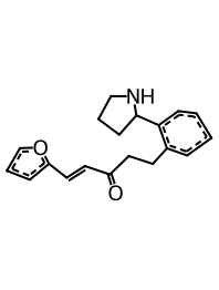 O=C(C=Cc1ccco1)CCc1ccccc1C1CCCN1